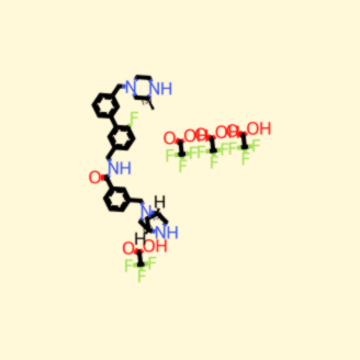 C[C@H]1CN(Cc2cccc(-c3cc(CNC(=O)c4cccc(CN5C[C@@H]6C[C@H]5CN6)c4)ccc3F)c2)CCN1.O=C(O)C(F)(F)F.O=C(O)C(F)(F)F.O=C(O)C(F)(F)F.O=C(O)C(F)(F)F